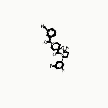 N#Cc1cccc(C(=O)N2CCC3(CC2)O[C@@H]2CC[C@@H](c4cc(F)cc(F)c4)N2C3=O)c1